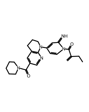 C=C(CC)C(=O)n1ccc(N2CCCc3cc(C(=O)N4CCCCC4)cnc32)cc1=N